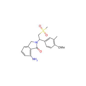 COc1ccc(C(CS(C)(=O)=O)N2Cc3cccc(N)c3C2=O)cc1C